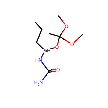 CCC[SiH](NC(N)=O)OC(C)(OC)OC